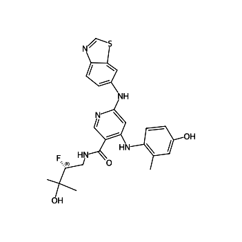 Cc1cc(O)ccc1Nc1cc(Nc2ccc3ncsc3c2)ncc1C(=O)NC[C@@H](F)C(C)(C)O